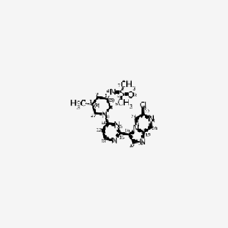 C[C@@H]1C[C@H](N=S(C)(C)=O)CN(c2ccnc(-c3cnc4cnc(Cl)cn34)n2)C1